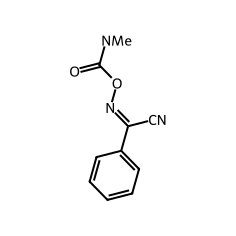 CNC(=O)ON=C(C#N)c1ccccc1